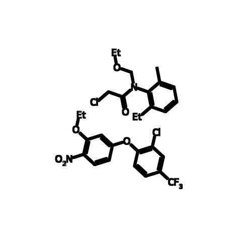 CCOCN(C(=O)CCl)c1c(C)cccc1CC.CCOc1cc(Oc2ccc(C(F)(F)F)cc2Cl)ccc1[N+](=O)[O-]